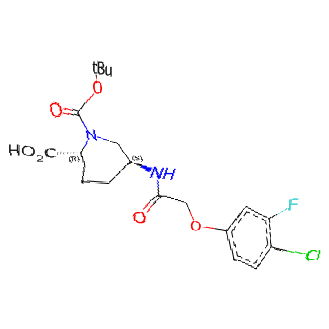 CC(C)(C)OC(=O)N1C[C@@H](NC(=O)COc2ccc(Cl)c(F)c2)CC[C@@H]1C(=O)O